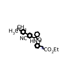 CCOC(=O)/C=C/c1cccc(NC(=O)C2(Cc3ccc(-c4ccc(N(C)C)cc4)c(C#N)c3)CCCCC2)c1F